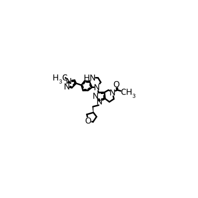 CC(=O)N1CCc2c(c(N3CCNc4cc(-c5cnn(C)c5)ccc43)nn2CC[C@H]2CCOC2)C1